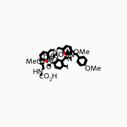 COc1ccc(CN(Cc2ccc(OC)cc2)S(=O)(=O)c2c(S(=O)(=O)NC(C)CNC(=O)O)ccc(I)c2-c2nnn(Cc3ccc(OC)cc3)n2)cc1